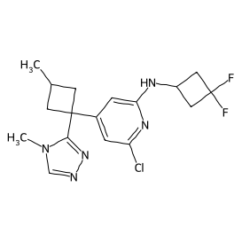 CC1CC(c2cc(Cl)nc(NC3CC(F)(F)C3)c2)(c2nncn2C)C1